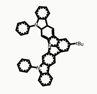 CC(C)(C)c1cc2c3c(n4c5cc6c(cc5c(c1)c24)c1ccccc1n6-c1ccccc1)=CC1C(C=3)c2ccccc2N1c1ccccc1